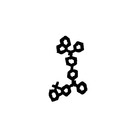 CC1(C)c2ccccc2-c2ccc(N(c3ccccc3)c3ccc(-c4ccc(N(c5ccccc5)c5cccc6ccccc56)cc4)cc3)cc21